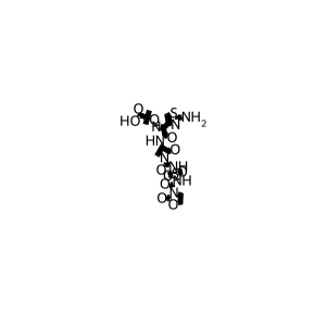 CC(C)(ON=C(C(=O)N[C@H]1CN(C(=O)NS(=O)(=O)NC(=O)N2CCOC2=O)C1=O)c1csc(N)n1)C(=O)O